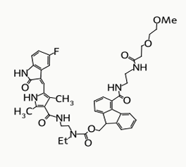 CCN(CCNC(=O)c1c(C)[nH]c(/C=C2\C(=O)Nc3ccc(F)cc32)c1C)C(=O)OCC1c2ccccc2-c2c(C(=O)NCCNC(=O)CCOCCOC)cccc21